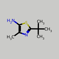 Cc1nc(C(C)(C)C)sc1N